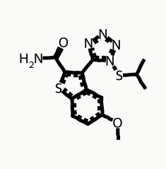 COc1ccc2sc(C(N)=O)c(-c3nnnn3SC(C)C)c2c1